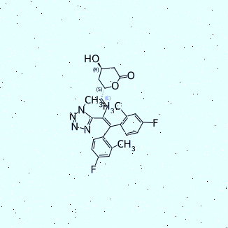 Cc1cc(F)ccc1C(=C(/C=C/[C@@H]1C[C@@H](O)CC(=O)O1)c1nnnn1C)c1ccc(F)cc1C